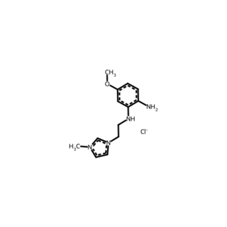 COc1ccc(N)c(NCCn2cc[n+](C)c2)c1.[Cl-]